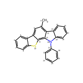 Cc1cc2c3ccccc3sc2c2c1c1ccccc1n2-c1ccccc1